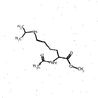 COC(=O)C(CCCCNC(C)C)NC(C)=O